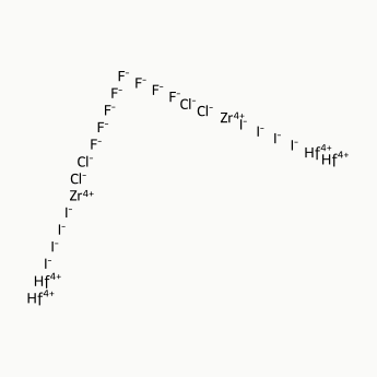 [Cl-].[Cl-].[Cl-].[Cl-].[F-].[F-].[F-].[F-].[F-].[F-].[F-].[F-].[Hf+4].[Hf+4].[Hf+4].[Hf+4].[I-].[I-].[I-].[I-].[I-].[I-].[I-].[I-].[Zr+4].[Zr+4]